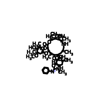 CC[C@H]1OC(=O)[C@H](C)[C@@H](O[C@H]2C[C@@](C)(OC)[C@@H](O)[C@H](C)O2)[C@H](C)[C@@H](O[C@@H]2O[C@H](C)C[C@H]3[C@H]2O/C(=N\c2ccccc2)N3C)[C@](C)(O)C[C@@H](C)CN[C@H](C)[C@@H](O)[C@]1(C)O